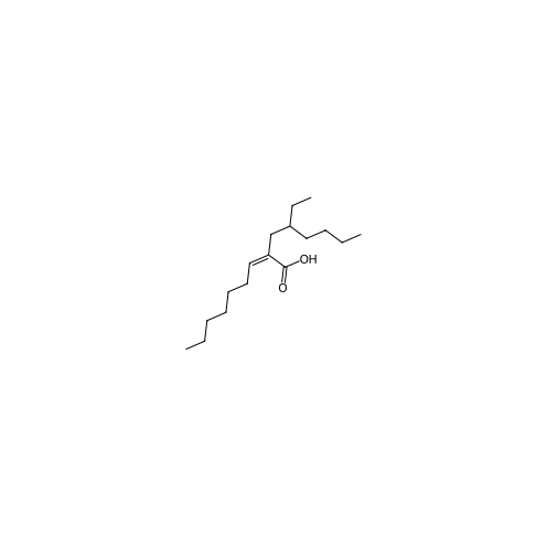 CCCCCC/C=C(/CC(CC)CCCC)C(=O)O